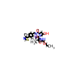 CCCOCC(=O)NC(C(=O)N1C[C@H](O)C[C@H]1C(=O)NCc1ccc(-c2scnc2C)cc1)C(C)(C)C